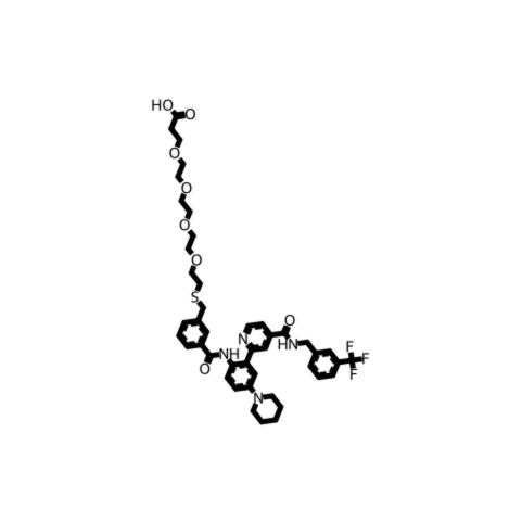 O=C(O)CCOCCOCCOCCOCCSCc1cccc(C(=O)Nc2ccc(N3CCCCC3)cc2-c2cc(C(=O)NCc3cccc(C(F)(F)F)c3)ccn2)c1